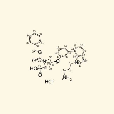 Cl.NCCCn1cnc2cccc(-c3cccc(O[C@H]4C[C@@H](C(=O)O)N(C(=O)OCc5ccccc5)C4)c3)c21